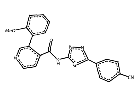 COc1ccccc1-c1cnccc1C(=O)Nc1nnc(-c2ccc(C#N)cc2)[se]1